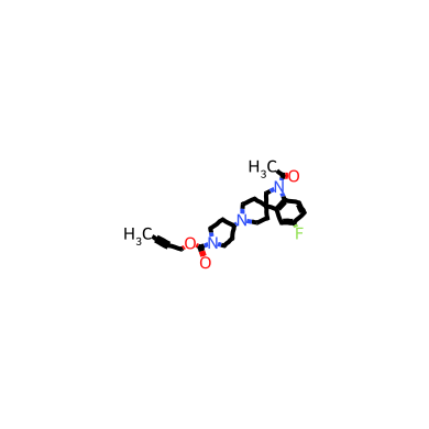 CC#CCOC(=O)N1CCC(N2CCC3(CC2)CN(C(C)=O)c2ccc(F)cc23)CC1